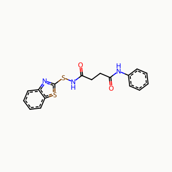 O=C(CCC(=O)Nc1ccccc1)NSc1nc2ccccc2s1